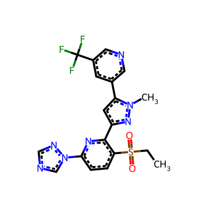 CCS(=O)(=O)c1ccc(-n2cncn2)nc1-c1cc(-c2cncc(C(F)(F)F)c2)n(C)n1